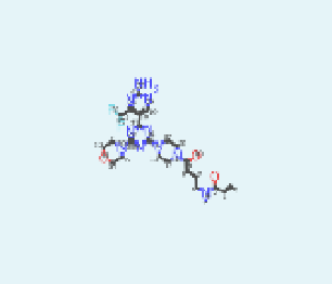 C=CC(=O)N(C)CCCC(=O)N1CCN(c2nc(-c3cnc(N)nc3C(F)F)nc(N3CCOCC3)n2)CC1